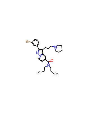 CC(C)CCN(CCC(C)C)C(=O)c1ccn2nc(-c3cccc(Br)c3)c(CCCN3CCCCC3)c2c1